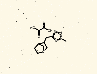 Cn1nnc(CC2CN3CCC2C3)n1.O=C(O)C(=O)O